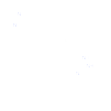 Clc1c(C#Cc2ccnnc2)ccc2c1NNN2CC1CC1